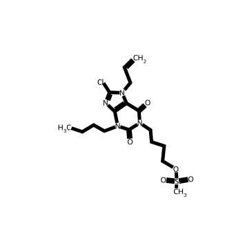 C=CCn1c(Cl)nc2c1c(=O)n(CCCCOS(C)(=O)=O)c(=O)n2CCCC